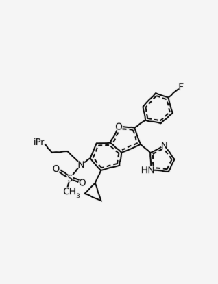 CC(C)CCN(c1cc2oc(-c3ccc(F)cc3)c(-c3ncc[nH]3)c2cc1C1CC1)S(C)(=O)=O